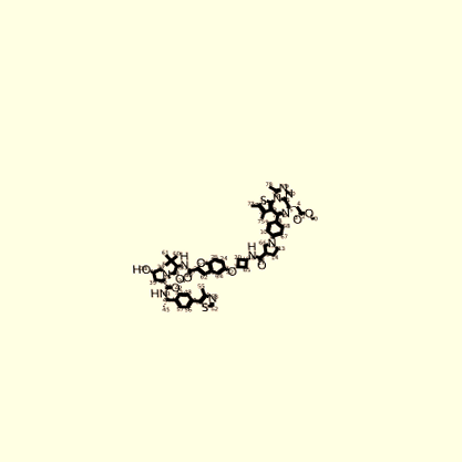 COC(=O)C[C@@H]1N=C(c2ccc(N3CCC(C(=O)N[C@H]4C[C@@H](Oc5ccc6oc(C(=O)NC(C(=O)N7C[C@H](O)C[C@H]7C(=O)N[C@@H](C)c7ccc(-c8scnc8C)cc7)C(C)(C)C)cc6c5)C4)C3)cc2)c2c(sc(C)c2C)-n2c(C)nnc21